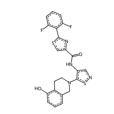 O=C(Nc1cnsc1N1CCc2c(O)cccc2C1)c1csc(-c2c(F)cccc2F)n1